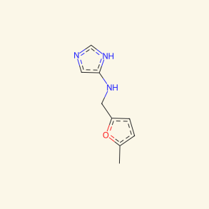 Cc1ccc(CNc2cnc[nH]2)o1